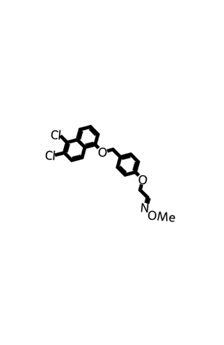 CON=CCOc1ccc(COc2cccc3c(Cl)c(Cl)ccc23)cc1